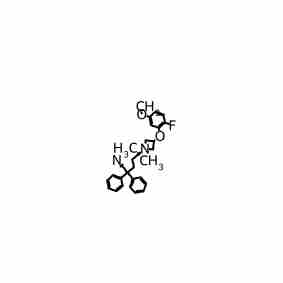 COc1ccc(F)c(OC2CN(C(C)(C)CCC(C#N)(c3ccccc3)c3ccccc3)C2)c1